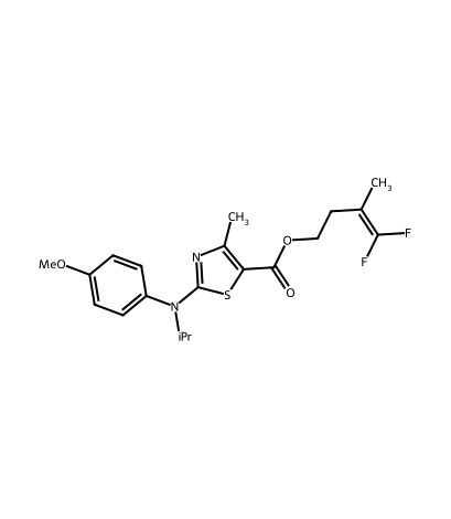 COc1ccc(N(c2nc(C)c(C(=O)OCCC(C)=C(F)F)s2)C(C)C)cc1